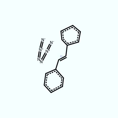 C(=C\c1ccccc1)/c1ccccc1.[N-]=[N+]=[N-].[N-]=[N+]=[N-]